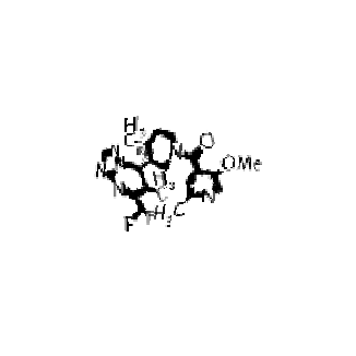 COc1cnc(C)cc1C(=O)N1CC[C@@H](C)[C@H](C2C(C)C(C(F)F)=Nc3ncnn32)C1